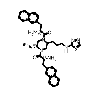 CC(C)C[C@@H]1CN(C(=O)[C@H](N)Cc2ccc3ccccc3c2)C(CCCNc2nncs2)CN1C(=O)[C@H](N)Cc1ccc2ccccc2c1